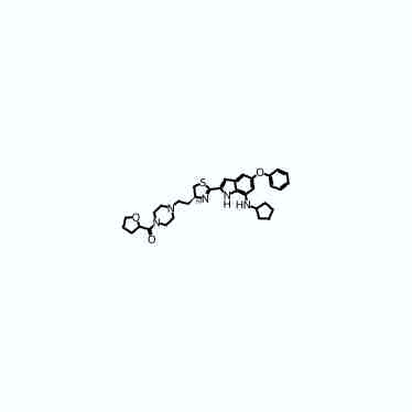 O=C(C1CCCO1)N1CCN(CC[C@H]2CSC(c3cc4cc(Oc5ccccc5)cc(NC5CCCC5)c4[nH]3)=N2)CC1